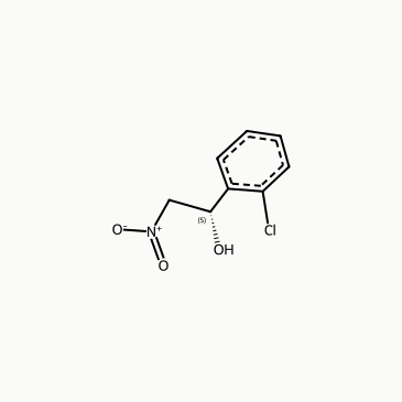 O=[N+]([O-])C[C@@H](O)c1ccccc1Cl